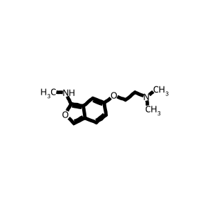 CNc1occ2ccc(OCCN(C)C)cc12